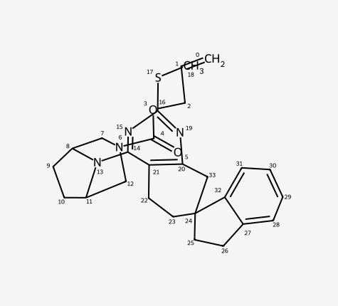 C=CCOC(=O)N1CC2CCC(C1)N2c1nc(SC)nc2c1CCC1(CCc3ccccc31)C2